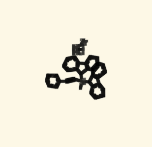 C[Si](C#Cc1ccccc1)(C1c2ccccc2-c2ccccc21)C1c2ccccc2-c2ccccc21.Cl.Cl.[Zr]